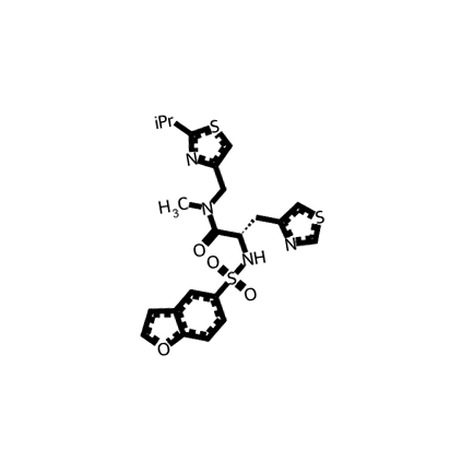 CC(C)c1nc(CN(C)C(=O)[C@H](Cc2cscn2)NS(=O)(=O)c2ccc3occc3c2)cs1